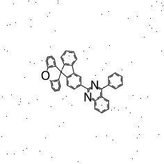 c1ccc(-c2nc(-c3ccc4c(c3)-c3ccccc3C43c4ccccc4Oc4ccccc43)nc3ccccc23)cc1